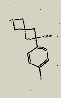 COC1(c2ccc(F)cc2)CC2(CNC2)C1